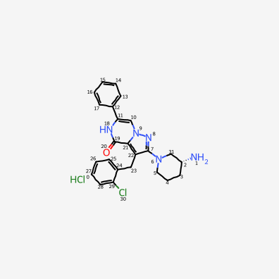 Cl.N[C@@H]1CCCN(c2nn3cc(-c4ccccc4)[nH]c(=O)c3c2Cc2ccccc2Cl)C1